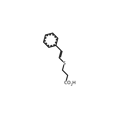 O=C(O)CCSC=Cc1ccccc1